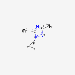 CC(C)c1nc(C(C)C)n(C2CC2)n1